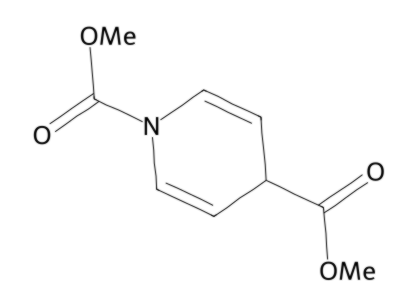 COC(=O)C1C=CN(C(=O)OC)C=C1